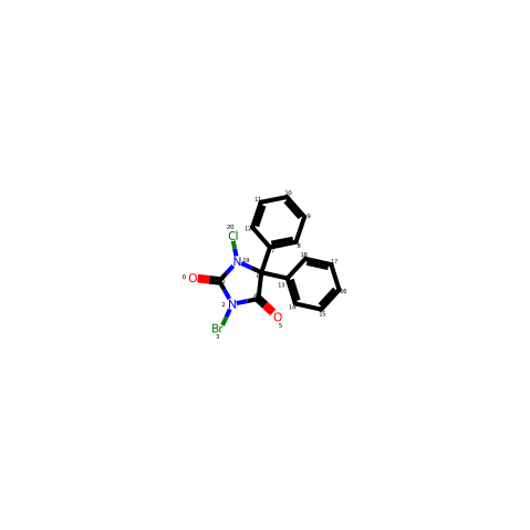 O=C1N(Br)C(=O)C(c2ccccc2)(c2ccccc2)N1Cl